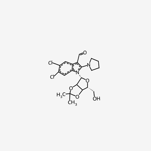 CC1(C)OC2C(O1)[C@@H](CO)O[C@H]2n1c(N2CCCC2)c(C=O)c2cc(Cl)c(Cl)cc21